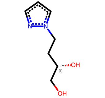 OC[C@@H](O)CCn1cccn1